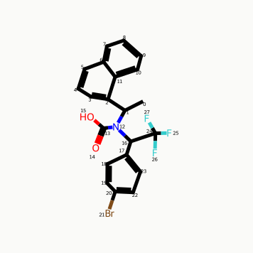 CC(c1cccc2ccccc12)N(C(=O)O)C(c1ccc(Br)cc1)C(F)(F)F